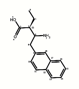 CC[C@H](C(=O)O)C(N)Cc1ccc2ccccc2c1